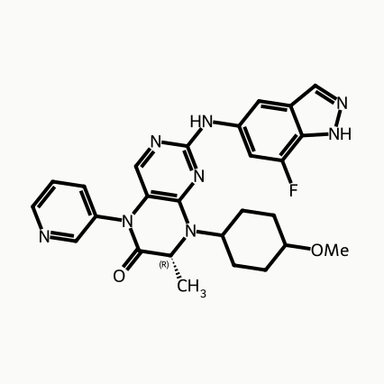 COC1CCC(N2c3nc(Nc4cc(F)c5[nH]ncc5c4)ncc3N(c3cccnc3)C(=O)[C@H]2C)CC1